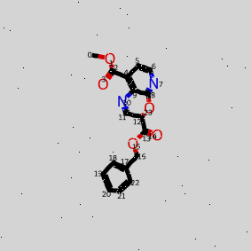 COC(=O)c1ccnc2c1N=CC(C(=O)OCc1ccccc1)O2